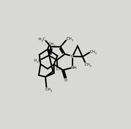 CC1=C(C)C(C)[C]([Ti]2([NH]C(=O)C34CC5CC(C)(CC(C)(C5)C3)C4)[CH2][C]2(C)C)=C1C